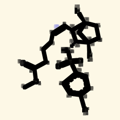 COC(=O)CCC/C=C\[C@H]1[C@@H]2CC[C@@H](C2)[C@@H]1NS(=O)(=O)c1ccc(Br)cc1